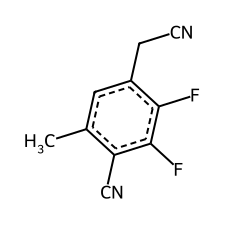 Cc1cc(CC#N)c(F)c(F)c1C#N